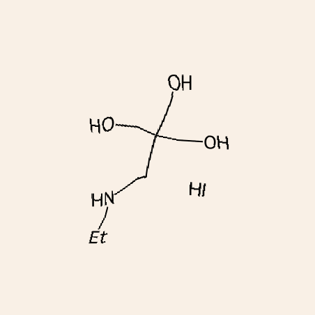 CCNCC(O)(O)O.I